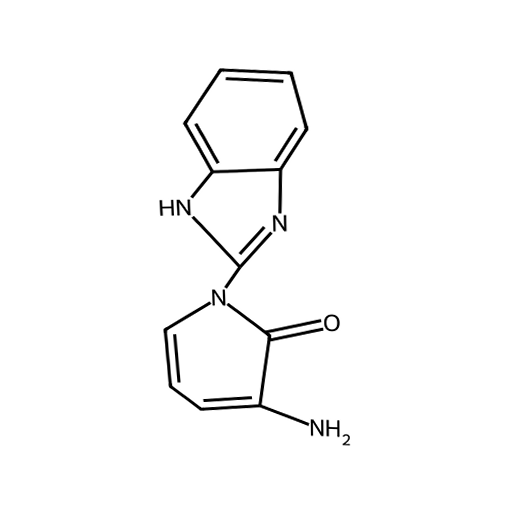 Nc1cccn(-c2nc3ccccc3[nH]2)c1=O